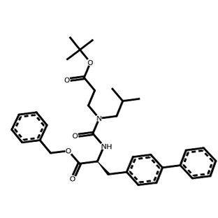 CC(C)CN(CCC(=O)OC(C)(C)C)C(=O)N[C@@H](Cc1ccc(-c2ccccc2)cc1)C(=O)OCc1ccccc1